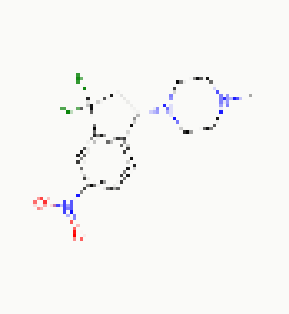 CN1CCN([C@H]2CC(F)(F)c3cc([N+](=O)[O-])ccc32)CC1